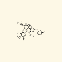 COC(=O)Cc1c(C)c2c(c(C)c1-c1cc(F)c3c(c1C)CCCO3)CN(Cc1cccc(F)c1)C2